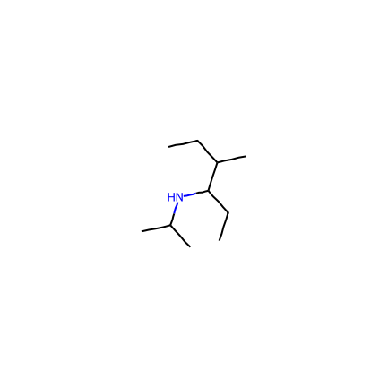 CCC(C)C(CC)NC(C)C